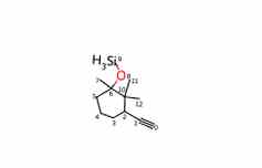 C#CC1CCCC(C)(O[SiH3])C1(C)C